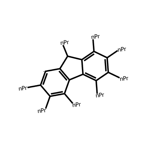 CCCc1[c]c2c(c(CCC)c1CCC)-c1c(CCC)c(CCC)c(CCC)c(CCC)c1C2CCC